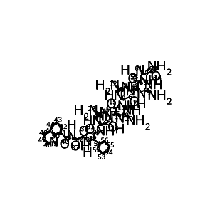 N=C(N)NC(NC(=O)C(NC(=N)N)NC(=O)C(NC(=N)N)NC(=O)C(NC(=N)N)NC(=O)C(NC(=O)C(O)NC(=O)c1cccc2cccnc12)c1ccccc1)C(=O)NC(N)C(N)=O